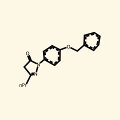 CCCC1=NN(c2ccc(OCc3ccccc3)cc2)C(=O)C1